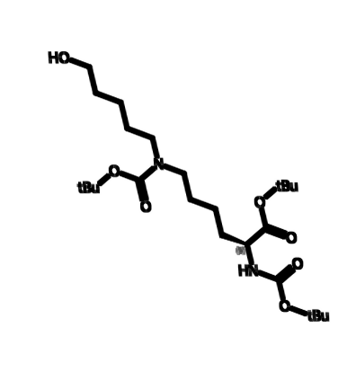 CC(C)(C)OC(=O)N[C@@H](CCCCN(CCCCCO)C(=O)OC(C)(C)C)C(=O)OC(C)(C)C